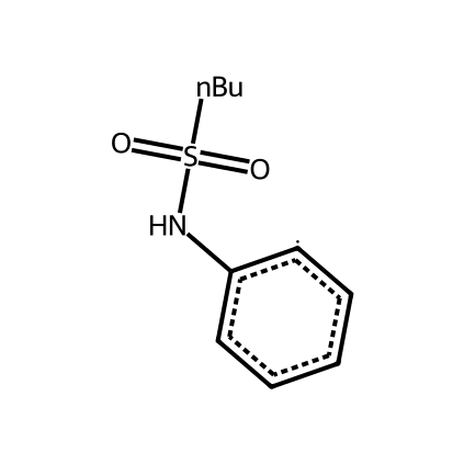 CCCCS(=O)(=O)Nc1[c]cccc1